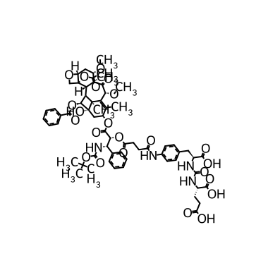 CO[C@H]1C(=O)[C@]2(C)[C@@H](OC)C[C@H]3OC[C@@]3(OC(C)=O)[C@H]2C2[C@H](OC(=O)c3ccccc3)[C@]3(O)C[C@H](OC(=O)[C@H](OC(=O)CCC(=O)Nc4ccc(C[C@H](NC(=O)N[C@@H](CCC(=O)O)C(=O)O)C(=O)O)cc4)[C@@H](NC(=O)OC(C)(C)C)c4ccccc4)C(C)=C1[C@]23C